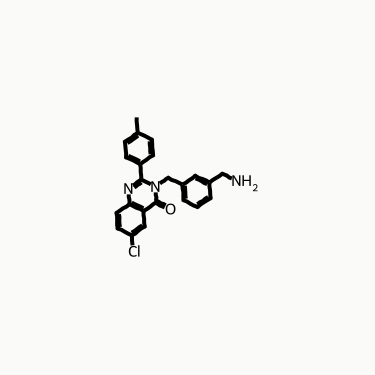 Cc1ccc(-c2nc3ccc(Cl)cc3c(=O)n2Cc2cccc(CN)c2)cc1